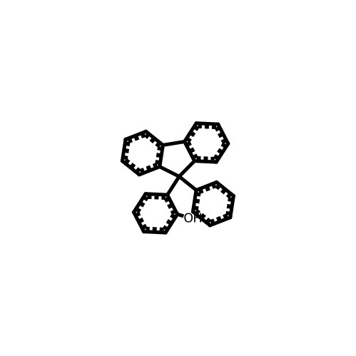 Oc1ccccc1C1(c2ccccc2)c2ccccc2-c2ccccc21